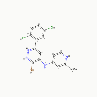 CNc1cc(Nc2cc(-c3cc(Cl)ccc3F)nnc2S)ccn1